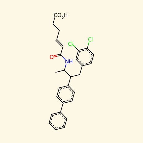 CC(NC(=O)/C=C/CCC(=O)O)C(Cc1ccc(Cl)c(Cl)c1)c1ccc(-c2ccccc2)cc1